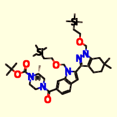 C[C@@H]1CN(C(=O)c2ccc3cc(-c4nn(COCC[Si](C)(C)C)c5c4CCC(C)(C)C5)n(COCC[Si](C)(C)C)c3c2)CCN1C(=O)OC(C)(C)C